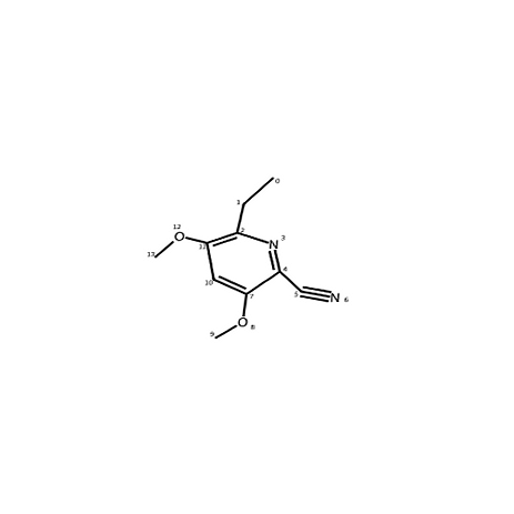 CCc1nc(C#N)c(OC)cc1OC